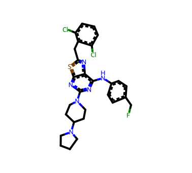 FCc1ccc(Nc2nc(N3CCC(N4CCCC4)CC3)nc3sc(Cc4c(Cl)cccc4Cl)nc23)cc1